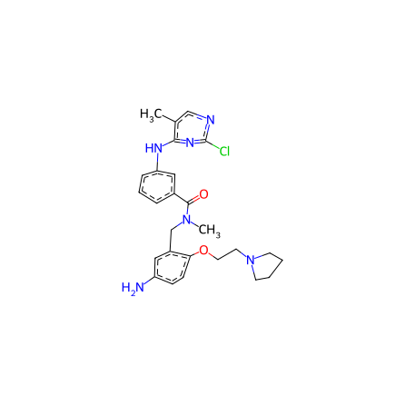 Cc1cnc(Cl)nc1Nc1cccc(C(=O)N(C)Cc2cc(N)ccc2OCCN2CCCC2)c1